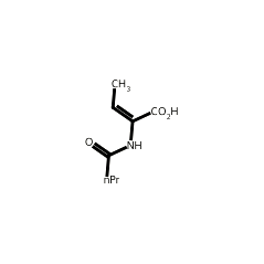 CC=C(NC(=O)CCC)C(=O)O